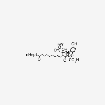 CCCCCCCC(=O)CCCCCC/C=C/[C@H](C(=O)N[C@@H](Cc1ccc(O)cc1)C(=O)O)[C@@](O)(CC(=O)OCCC)C(=O)O